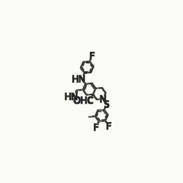 Cc1cc(SN2CCC3=CC(Nc4ccc(F)cc4)=C(C=N)CC3(C=O)C2)cc(F)c1F